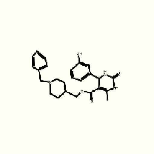 CC1=C(C(=O)OCC2CCN(Cc3ccccc3)CC2)C(c2cccc(O)c2)NC(=O)N1